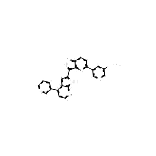 COc1cncc(-c2ccc3[nH]nc(-c4cc5c(-c6cccnc6)ccnc5[nH]4)c3n2)c1